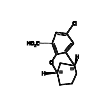 O=C(O)c1cc(Cl)cc2c1O[C@H]1CCC[C@@H]2C1